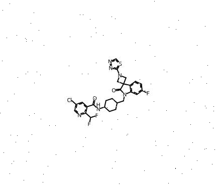 O=C(NC1CCC(CN2C(=O)C3(CN(c4nncs4)C3)c3ccc(F)cc32)CC1)c1cc(Cl)cnc1C(F)F